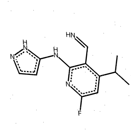 CC(C)c1cc(F)nc(Nc2ccn[nH]2)c1C=N